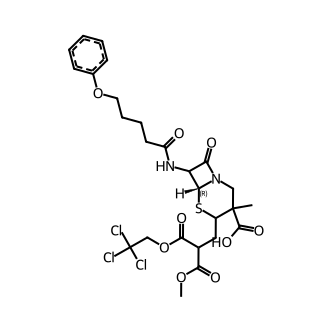 COC(=O)C(CC1S[C@@H]2C(NC(=O)CCCCOc3ccccc3)C(=O)N2CC1(C)C(=O)O)C(=O)OCC(Cl)(Cl)Cl